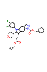 CCOC(=O)CCc1c(C2CCOCC2)n(-c2ccc(F)c(F)c2)c2cc3cnn(C(=O)OCc4ccccc4)c3cc12